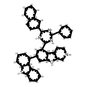 c1ccc(-c2nc(-c3ccc4ccccc4c3)nc(-c3cc(-c4cccc5sc6ccccc6c45)cc4oc5cnccc5c34)n2)cc1